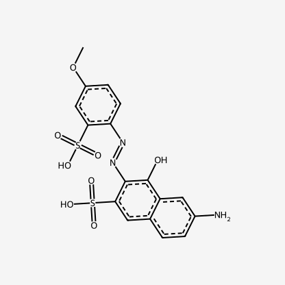 COc1ccc(N=Nc2c(S(=O)(=O)O)cc3ccc(N)cc3c2O)c(S(=O)(=O)O)c1